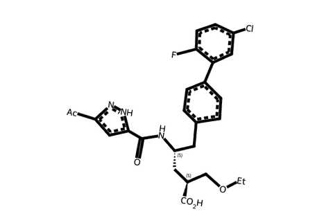 CCOC[C@H](C[C@@H](Cc1ccc(-c2cc(Cl)ccc2F)cc1)NC(=O)c1cc(C(C)=O)n[nH]1)C(=O)O